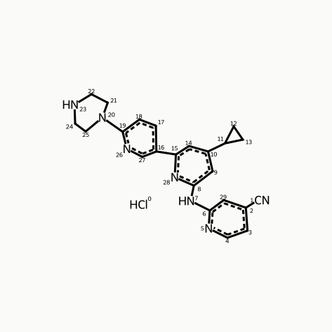 Cl.N#Cc1ccnc(Nc2cc(C3CC3)cc(-c3ccc(N4CCNCC4)nc3)n2)c1